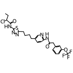 CCC(Cl)C(=O)Nc1nnc(CCCCc2ccc(NC(=O)Cc3cccc(OC(F)(F)F)c3)nc2)s1